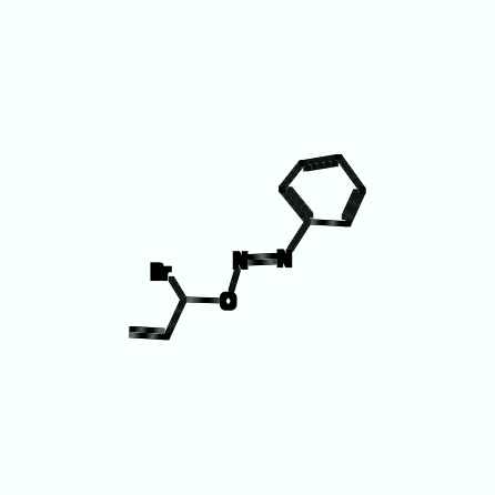 C=CC(Br)O/N=N/c1ccccc1